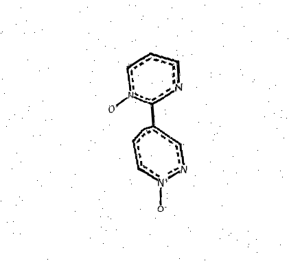 [O-][n+]1ccc(-c2nccc[n+]2[O-])[c]n1